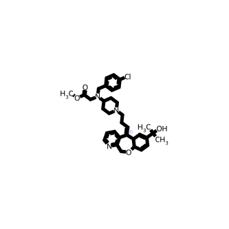 COC(=O)CN(Cc1ccc(Cl)cc1)C1CCN(CC/C=C2\c3cccnc3COC3C=CC(C(C)(C)O)=CC23)CC1